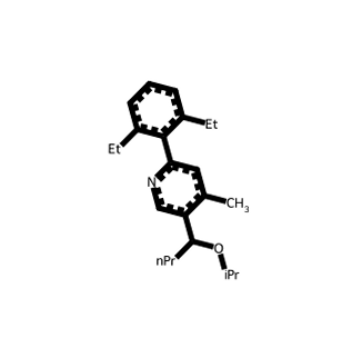 CCCC(OC(C)C)c1cnc(-c2c(CC)cccc2CC)cc1C